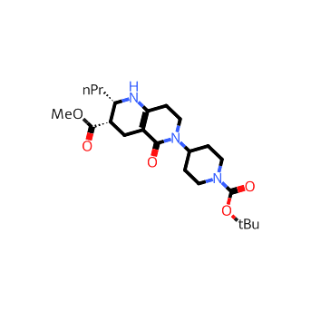 CCC[C@@H]1NC2=C(C[C@@H]1C(=O)OC)C(=O)N(C1CCN(C(=O)OC(C)(C)C)CC1)CC2